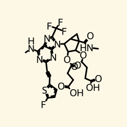 CNC(=O)C12CC1C(n1c(C(F)(F)F)nc3c(NC)nc(C#Cc4ccc(F)s4)nc31)C(OC(=O)CCC(=O)O)C2OC(=O)CCC(=O)O